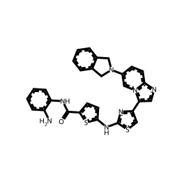 Nc1ccccc1NC(=O)c1ccc(Nc2nc(-c3cnc4ccc(N5Cc6ccccc6C5)cn34)cs2)s1